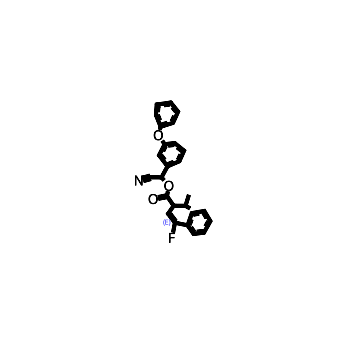 CC(C)C(/C=C(/F)c1ccccc1)C(=O)OC(C#N)c1cccc(Oc2ccccc2)c1